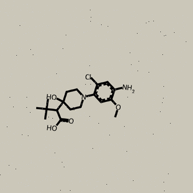 COc1cc(N2CCC(O)(C(C(=O)O)C(C)(C)C)CC2)c(Cl)cc1N